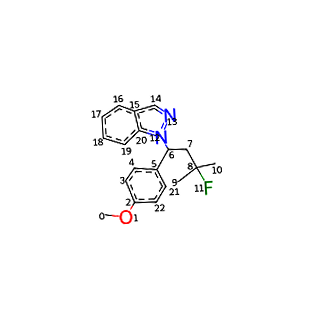 COc1ccc(C(CC(C)(C)F)n2ncc3ccccc32)cc1